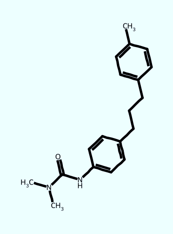 Cc1ccc(CCCc2ccc(NC(=O)N(C)C)cc2)cc1